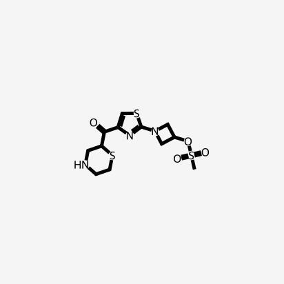 CS(=O)(=O)OC1CN(c2nc(C(=O)C3CNCCS3)cs2)C1